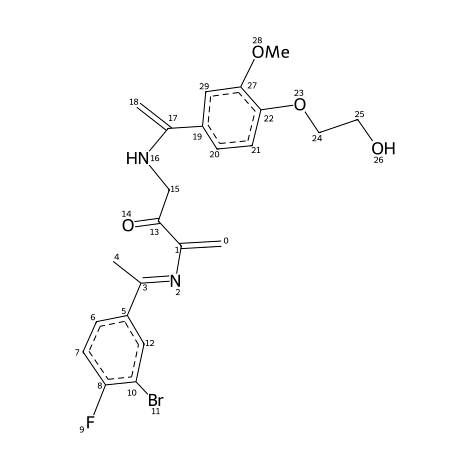 C=C(/N=C(\C)c1ccc(F)c(Br)c1)C(=O)CNC(=C)c1ccc(OCCO)c(OC)c1